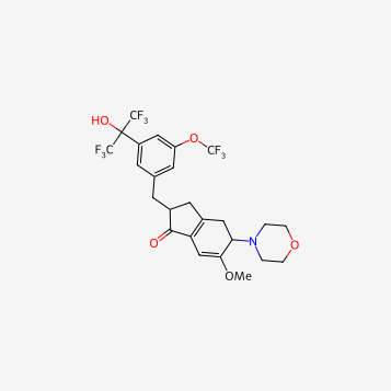 COC1=CC2=C(CC(Cc3cc(OC(F)(F)F)cc(C(O)(C(F)(F)F)C(F)(F)F)c3)C2=O)CC1N1CCOCC1